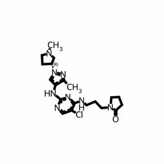 Cc1nn([C@@H]2CCN(C)C2)cc1Nc1ncc(Cl)c(NCCCN2CCCC2=O)n1